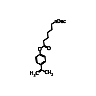 C=C(C)c1ccc(OC(=O)CCCCCCCCCCCCCCC)cc1